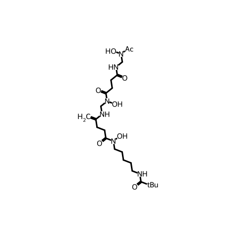 C=C(CCC(=O)N(O)CCCCCNC(=O)C(C)(C)C)NCN(O)C(=O)CCC(=O)NCN(O)C(C)=O